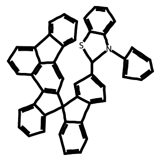 c1ccc(N2c3ccccc3SC2c2ccc3c(c2)C2(c4ccccc4-3)c3ccccc3-c3c2cc2c4c(cccc34)-c3ccccc3-2)cc1